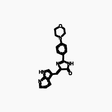 O=C1NC(c2ccc(N3CCOCC3)cc2)=NC1=Cc1c[nH]c2ncccc12